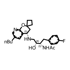 CCCCc1cnc2c(c1)[C@@H](NC[C@@H](O)[C@H](Cc1ccc(F)cc1)NC(C)=O)CC1(CCC1)O2